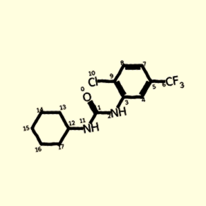 O=C(Nc1cc(C(F)(F)F)ccc1Cl)NC1CCCCC1